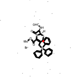 CC(C)(C)OC(=O)C1=C(C[P+](c2ccccc2)(c2ccccc2)c2ccccc2)CS[C@@H]2[C@H](NC=O)C(=O)N12.[Br-]